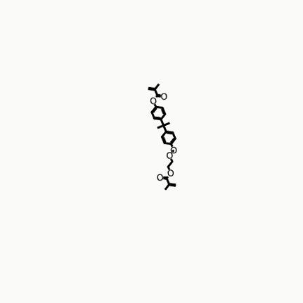 C=C(C)C(=O)OCCOOc1ccc(C(C)(C)c2ccc(OC(=O)C(=C)C)cc2)cc1